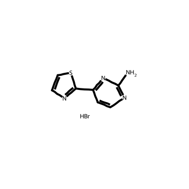 Br.Nc1nccc(-c2nccs2)n1